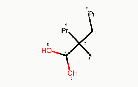 CC(C)CC(C)(C(C)C)C(O)O